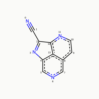 N#CC1=Nc2cncc3ccnc1c23